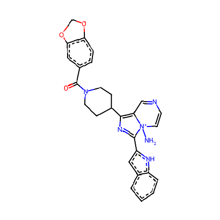 N[N+]12C=CN=CC1=C(C1CCN(C(=O)c3ccc4c(c3)OCO4)CC1)N=C2c1cc2ccccc2[nH]1